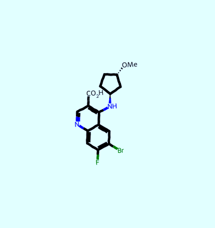 CO[C@H]1CC[C@H](Nc2c(C(=O)O)cnc3cc(F)c(Br)cc23)C1